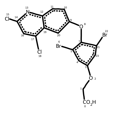 O=C(O)COc1cc(Br)c(Oc2ccc3nc(Cl)cc(Cl)c3c2)c(Br)c1